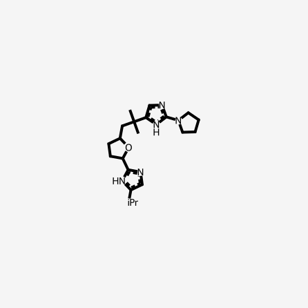 CC(C)c1cnc(C2CCC(CC(C)(C)c3cnc(N4CCCC4)[nH]3)O2)[nH]1